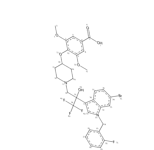 COc1cc(C(=O)O)cc(OC)c1OC1CCN(CC(O)(c2cn(Cc3ccccc3F)c3cc(Br)ccc23)C(F)(F)F)CC1